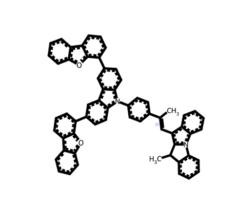 C/C(=C\c1c2n(c3ccccc13)-c1ccccc1C2C)c1ccc(-n2c3ccc(-c4cccc5c4oc4ccccc45)cc3c3cc(-c4cccc5c4oc4ccccc45)ccc32)cc1